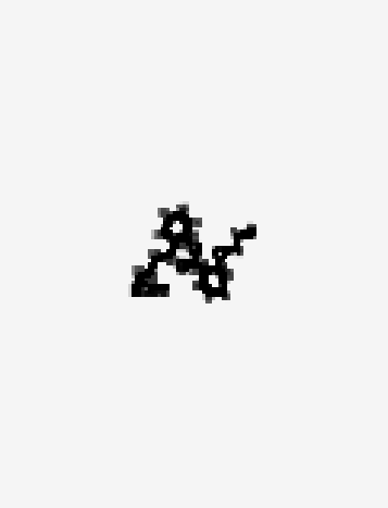 C=CCOc1ccccc1C(=O)Oc1ccccc1CCCCCCCCCCCCCC